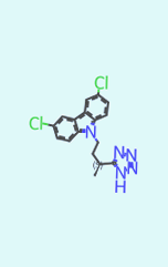 C[C@@H](CCn1c2ccc(Cl)cc2c2cc(Cl)ccc21)c1nnn[nH]1